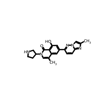 Cc1cn2nc(-c3cc(O)c4c(=O)n(C5CCNC5)cc(C)c4c3)ccc2n1